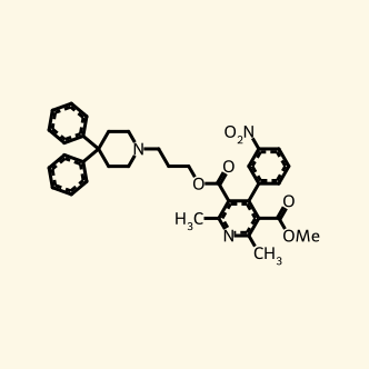 COC(=O)c1c(C)nc(C)c(C(=O)OCCCN2CCC(c3ccccc3)(c3ccccc3)CC2)c1-c1cccc([N+](=O)[O-])c1